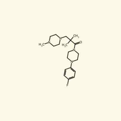 CN1CCN(CC(C)(C)C(=O)N2CCN(c3ccc(F)cc3)CC2)CC1